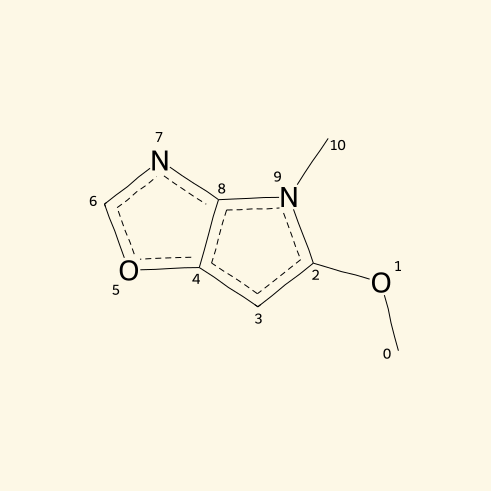 COc1cc2ocnc2n1C